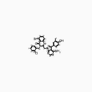 Cc1cc(-c2nn(Cc3nc4cccc(Br)c4c(=O)n3Cc3ccccc3Cl)c3ncnc(N)c23)ccc1O